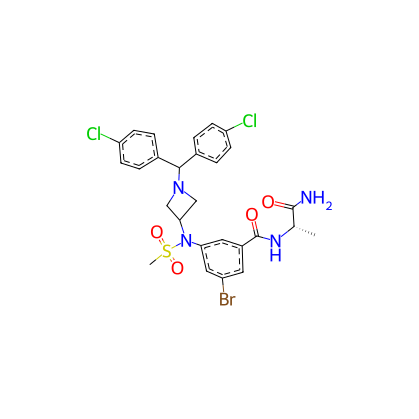 C[C@H](NC(=O)c1cc(Br)cc(N(C2CN(C(c3ccc(Cl)cc3)c3ccc(Cl)cc3)C2)S(C)(=O)=O)c1)C(N)=O